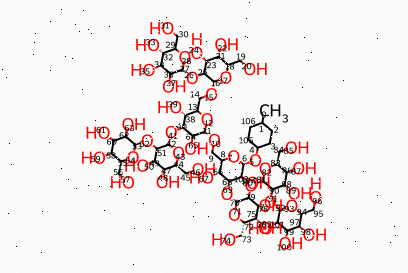 CC1CCC(O[C@@H]2OC(CO[C@H]3OC(CO[C@H]4OC(CO)[C@@H](O)[C@H](O)C4O[C@H]4OC(CO)[C@@H](O)[C@H](O)C4O)[C@@H](O)[C@H](O[C@H]4O[C@@H](CO)[C@@H](O)C(O)C4O[C@H]4O[C@@H](CO)[C@@H](O)C(O)C4O)C3O)[C@@H](O)[C@H](O[C@H]3O[C@@H](CO)[C@@H](O)C(O)C3O[C@H]3O[C@@H](CO)[C@@H](O)C(O)C3O[C@H]3O[C@@H](CO)[C@@H](O)C(O)C3O)C2O)CC1